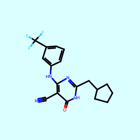 N#Cc1c(Nc2cccc(C(F)(F)F)c2)nc(CC2CCCC2)[nH]c1=O